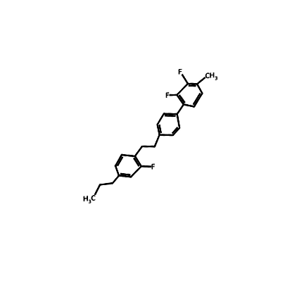 CCCc1ccc(CCc2ccc(-c3ccc(C)c(F)c3F)cc2)c(F)c1